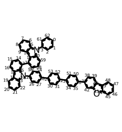 c1ccc(-n2c3ccccc3c3c(-c4cccc5c6ccccc6n(-c6ccc(-c7ccc(-c8ccc(-c9ccc%10c(c9)oc9ccccc9%10)cc8)cc7)cc6)c45)cccc32)cc1